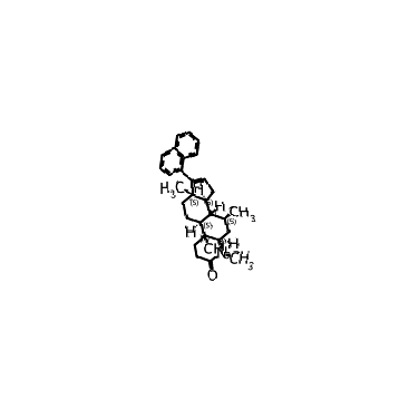 C[C@H]1C[C@H]2N(C)C(=O)CC[C@]2(C)[C@H]2CC[C@]3(C)C(c4cccc5ccccc45)=CC[C@H]3[C@H]12